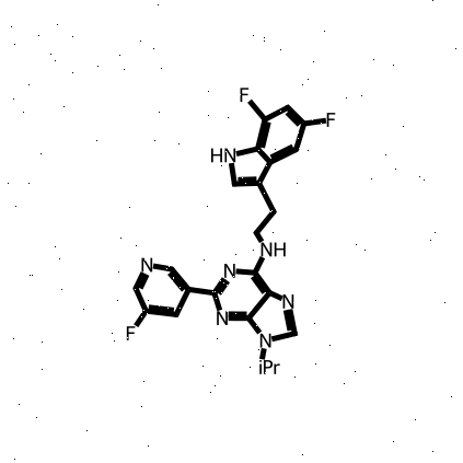 CC(C)n1cnc2c(NCCc3c[nH]c4c(F)cc(F)cc34)nc(-c3cncc(F)c3)nc21